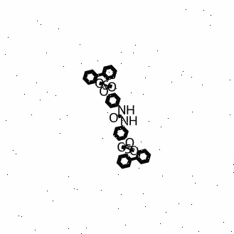 O=C(Nc1ccc(OS(=O)(=O)c2ccccc2-c2ccccc2)cc1)Nc1cccc(OS(=O)(=O)c2ccccc2-c2ccccc2)c1